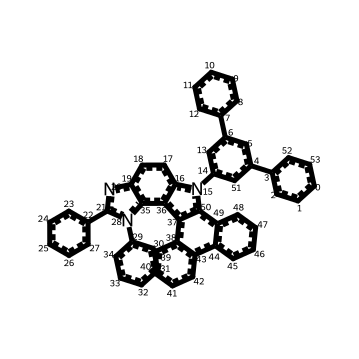 c1ccc(-c2cc(-c3ccccc3)cc(-n3c4ccc5nc(-c6ccccc6)n(-c6ccccc6)c5c4c4c5ccccc5c5ccccc5c43)c2)cc1